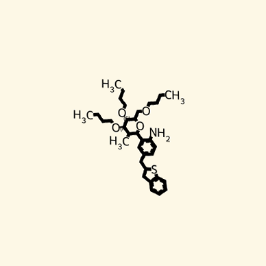 CCCCOCC1OC(c2cc(CC3Cc4ccccc4S3)ccc2N)C(C)[C@@H](OCCCC)[C@@H]1OCCCC